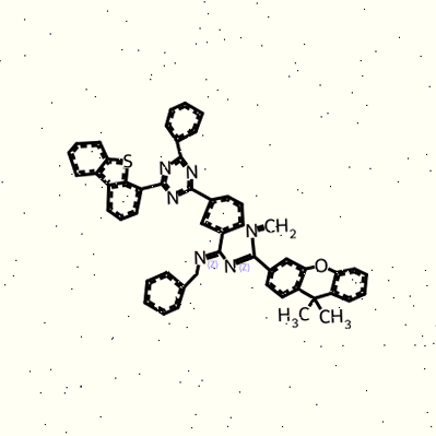 C=N/C(=N\C(=N/Cc1ccccc1)c1cccc(-c2nc(-c3ccccc3)nc(-c3cccc4c3sc3ccccc34)n2)c1)c1ccc2c(c1)Oc1ccccc1C2(C)C